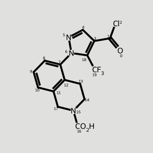 O=C(Cl)c1cnn(-c2cccc3c2CCN(C(=O)O)C3)c1C(F)(F)F